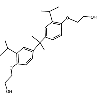 CC(C)c1cc(C(C)(C)c2ccc(OCCO)c(C(C)C)c2)ccc1OCCO